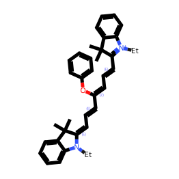 CCN1/C(=C/C=C/C(=C/C=C/C2=[N+](CC)c3ccccc3C2(C)C)Oc2ccccc2)C(C)(C)c2ccccc21